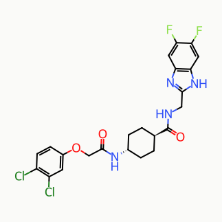 O=C(COc1ccc(Cl)c(Cl)c1)N[C@H]1CC[C@H](C(=O)NCc2nc3cc(F)c(F)cc3[nH]2)CC1